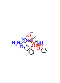 CCC[C@H](CCO[P@](=O)(N[C@@H](C)C(=O)OCc1ccccc1)Oc1ccccc1)n1c(COCC)nc2c(N)nc3ccccc3c21